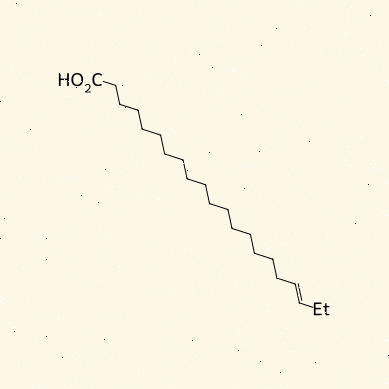 CCC=CCCCCCCCCCCCCCCCCC(=O)O